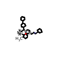 Cc1cccc(C)c1-n1nnnc1[C@H](c1ccc(-c2ccccc2)cc1)N1CCN(C/C=C/c2ccccc2)CC1